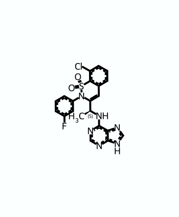 C[C@H](Nc1ncnc2[nH]cnc12)C1=Cc2cccc(Cl)c2S(=O)(=O)N1c1cccc(F)c1